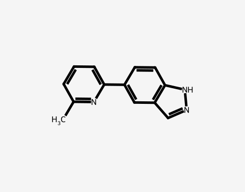 Cc1cccc(-c2ccc3[nH]ncc3c2)n1